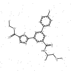 CCOC(=O)c1cnc(-c2cc(C(=O)NC(C)COC)cc(-c3ccc(C)cc3)c2)s1